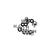 Cc1ccc2c(NS(=O)(=O)Cc3ccc(OC(F)(F)F)cc3)c(F)ccc2c1Oc1ncccc1-c1ccnc(NC2CCCNC2)n1.Cl